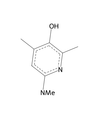 CNc1cc(C)c(O)c(C)n1